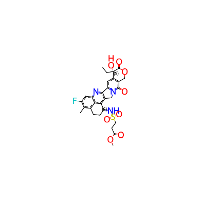 CC[C@@]1(O)C(=O)OCc2c1cc1n(c2=O)Cc2c-1nc1cc(F)c(C)c3c1c2[C@@H](NS(=O)(=O)CCC(=O)OC)CC3